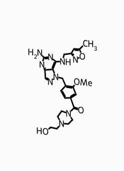 COc1cc(C(=O)N2CCN(CCO)CC2)ccc1Cn1ncc2nc(N)nc(NCc3cc(C)on3)c21